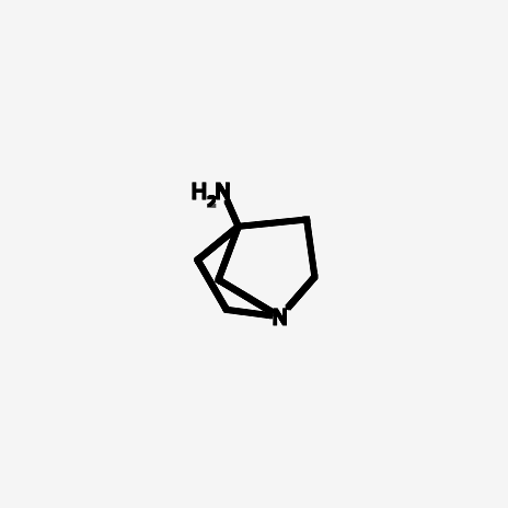 NC12CCN(CC1)C2